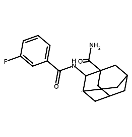 NC(=O)C12CC3C[C](CC(C3)C1)C2NC(=O)c1cccc(F)c1